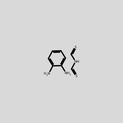 Nc1ccccc1N.S=CNC=S